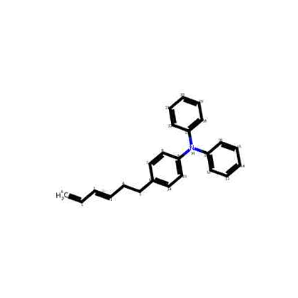 C=C/C=C/CCc1ccc(N(c2ccccc2)c2ccccc2)cc1